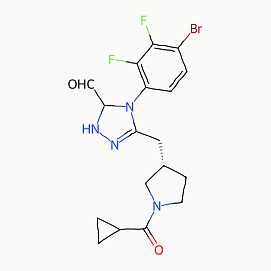 O=CC1NN=C(C[C@@H]2CCN(C(=O)C3CC3)C2)N1c1ccc(Br)c(F)c1F